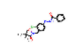 CC1(C)CON(Cc2ccc(NNC(=O)c3ccccc3)cc2Cl)C1=O